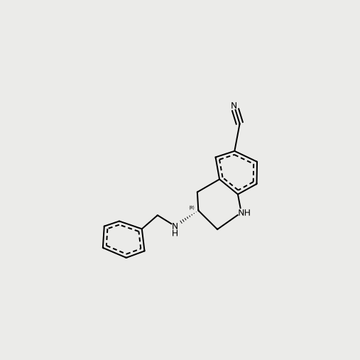 N#Cc1ccc2c(c1)C[C@@H](NCc1ccccc1)CN2